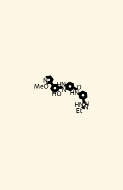 CCc1nnc(-c2cccc(NC(=O)c3ccc4[nH]c(-c5cc(-c6cccnc6OC)ccc5O)nc4c3)c2)[nH]1